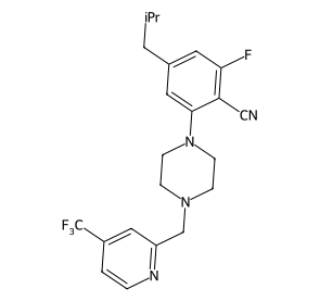 CC(C)Cc1cc(F)c(C#N)c(N2CCN(Cc3cc(C(F)(F)F)ccn3)CC2)c1